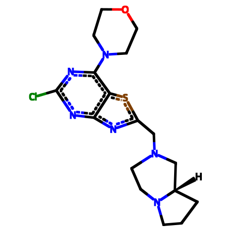 Clc1nc(N2CCOCC2)c2sc(CN3CCN4CCC[C@H]4C3)nc2n1